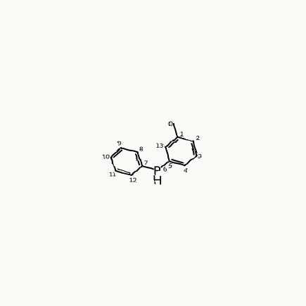 Cc1cccc(Pc2ccccc2)c1